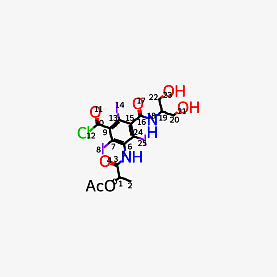 CC(=O)OC(C)C(=O)Nc1c(I)c(C(=O)Cl)c(I)c(C(=O)NC(CO)CO)c1I